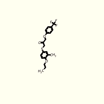 CCCOc1ccc(SCC(=O)COc2ccc(C(F)(F)F)cc2)cc1C